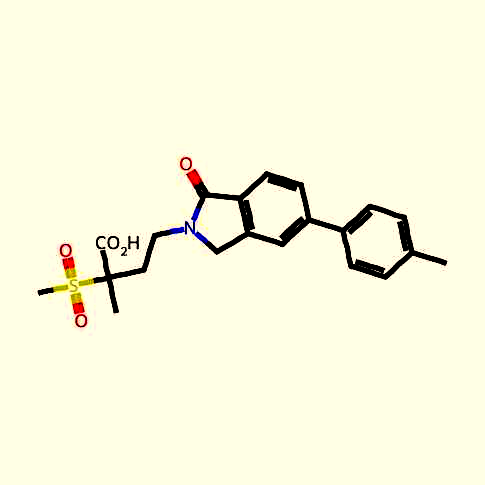 Cc1ccc(-c2ccc3c(c2)CN(CCC(C)(C(=O)O)S(C)(=O)=O)C3=O)cc1